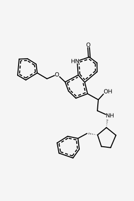 O=c1ccc2c(C(O)CN[C@@H]3CCC[C@@H]3Cc3ccccc3)ccc(OCc3ccccc3)c2[nH]1